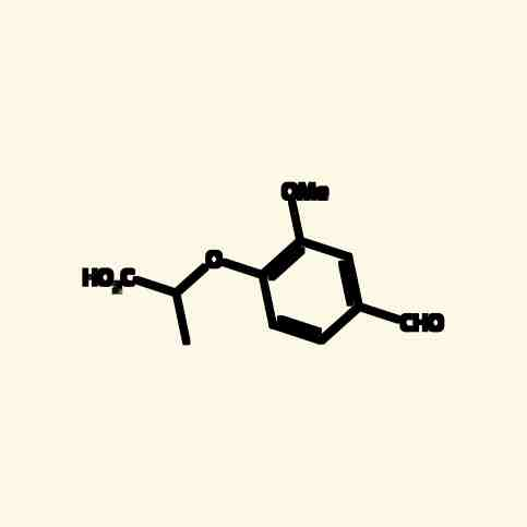 COc1cc(C=O)ccc1OC(C)C(=O)O